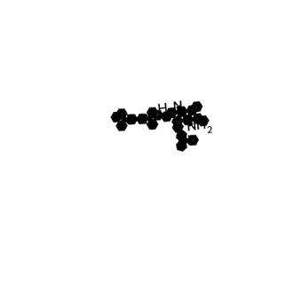 Nc1ccc(-c2ccc(N)c(-c3ccc4ccccc4c3)c2-c2ccc3ccccc3c2)c(-c2ccc3ccccc3c2)c1-c1ccc2ccccc2c1.c1ccc(-n2c3ccccc3c3ccccc32)cc1.c1ccc(N(c2ccc(-c3ccc(N(c4ccccc4)c4cccc5ccccc45)cc3)cc2)c2cccc3ccccc23)cc1